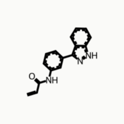 C=CC(=O)Nc1cccc(-c2n[nH]c3ccccc23)c1